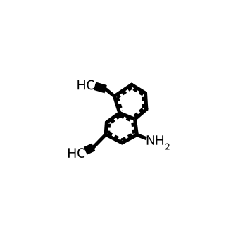 C#Cc1cc(N)c2cccc(C#C)c2c1